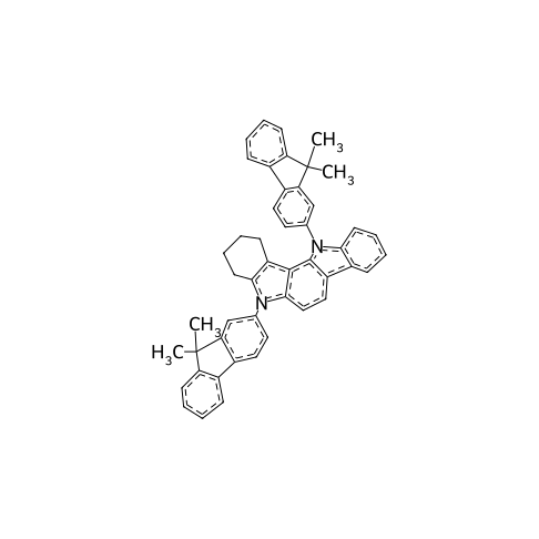 CC1(C)c2ccccc2-c2ccc(-n3c4c(c5c3ccc3c6ccccc6n(-c6ccc7c(c6)C(C)(C)c6ccccc6-7)c35)CCCC4)cc21